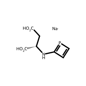 O=C(O)C[C@H](NC1=PC=C1)C(=O)O.[Na]